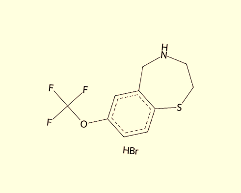 Br.FC(F)(F)Oc1ccc2c(c1)CNCCS2